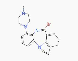 CN1CCN(c2cccc3c2N=C(Br)C2=CCCc4ccn-3c42)CC1